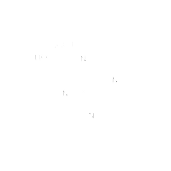 C[N+]12CCCN3CC[N+]4(C)CCCN(CC1)C4=C32.O=S(=O)(O)O